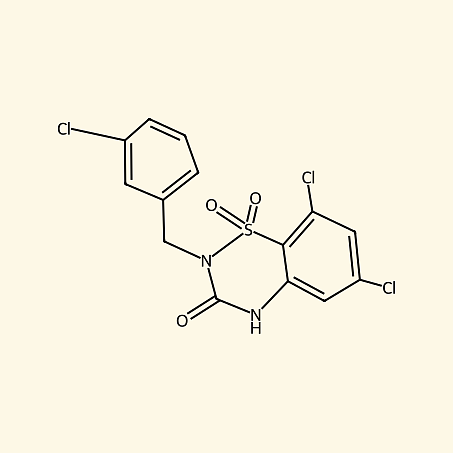 O=C1Nc2cc(Cl)cc(Cl)c2S(=O)(=O)N1Cc1cccc(Cl)c1